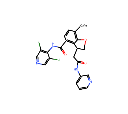 COc1ccc(C(=O)Nc2c(Cl)cncc2Cl)c2c1OCC2CC(=O)Nc1cccnc1